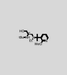 CCN(C[C@H](CO)NC(C)(C)C)C(C)(C)c1cccnc1OC